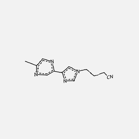 Cc1cnc(-c2cn(CCCC#N)cn2)cn1